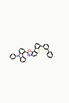 c1ccc(-c2cccc(-c3cccc4c3sc3ccc5nc(-c6cccc7c6c6ccccc6n7-c6ccccc6)oc5c34)c2)cc1